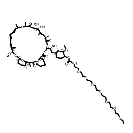 CCOCCOCCOCCOCCOCCOCCOCCNC(=O)OC1CC[C@@H](C[C@@H](N)[C@@H]2CC(=O)[C@H](C)/C=C(\C)[C@@H](O)[C@@H](O)C(=O)C(C)CC(C)/C=C/C=C/C=C(\C)[C@@H](OC)C[C@@H]3CC[C@@H](C)[C@@](O)(O3)C(=O)C(=O)N3CCCC[C@H]3C(=O)O2)C[C@H]1OC